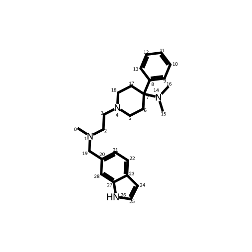 CN(CCN1CCC(c2ccccc2)(N(C)C)CC1)Cc1ccc2cc[nH]c2c1